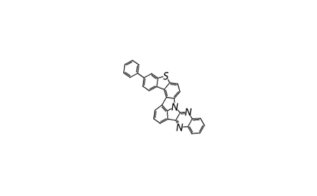 c1ccc(-c2ccc3c(c2)sc2ccc4c(c5cccc6c7nc8ccccc8nc7n4c65)c23)cc1